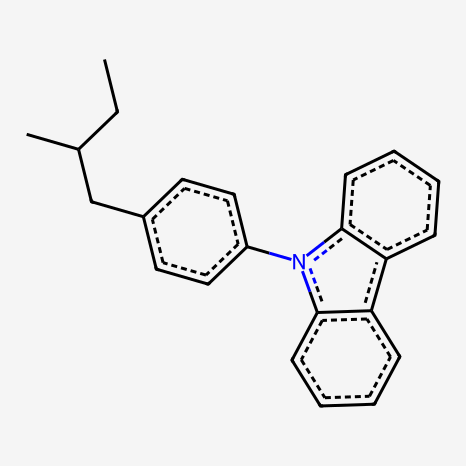 CCC(C)Cc1ccc(-n2c3ccccc3c3ccccc32)cc1